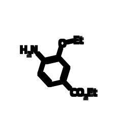 CCOC(=O)c1ccc(N)c(OCC)c1